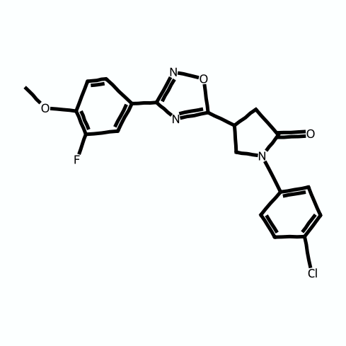 COc1ccc(-c2noc(C3CC(=O)N(c4ccc(Cl)cc4)C3)n2)cc1F